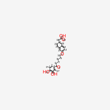 Cc1cc(C(=O)CCCCCOc2ccc3cc(CC(=O)O)ccc3c2)c(C)c(O)c1O